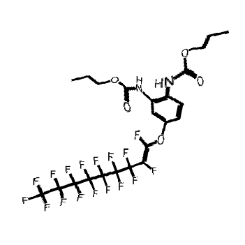 CCCOC(=O)Nc1ccc(OC(F)=C(F)C(F)(F)C(F)(F)C(F)(F)C(F)(F)C(F)(F)C(F)(F)C(F)(F)F)cc1NC(=O)OCCC